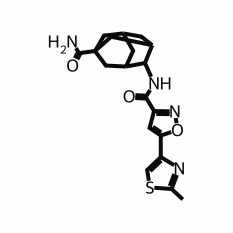 Cc1nc(-c2cc(C(=O)NC3C4CC5CC3CC(C(N)=O)(C5)C4)no2)cs1